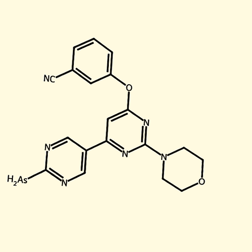 N#Cc1cccc(Oc2cc(-c3cnc([AsH2])nc3)nc(N3CCOCC3)n2)c1